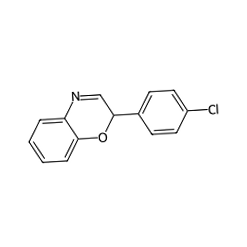 Clc1ccc(C2C=Nc3ccccc3O2)cc1